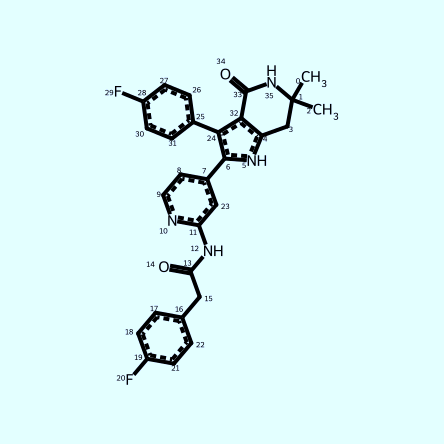 CC1(C)Cc2[nH]c(-c3ccnc(NC(=O)Cc4ccc(F)cc4)c3)c(-c3ccc(F)cc3)c2C(=O)N1